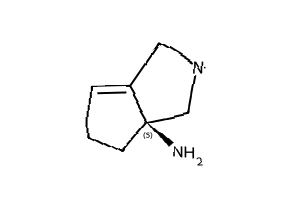 N[C@@]12CCC=C1C[N]C2